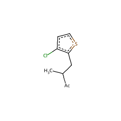 CC(=O)C(C)Cc1sccc1Cl